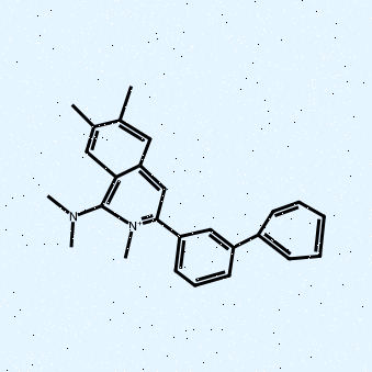 Cc1cc2cc(-c3cccc(-c4ccccc4)c3)[n+](C)c(N(C)C)c2cc1C